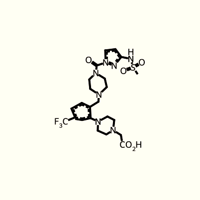 CS(=O)(=O)Nc1ccn(C(=O)N2CCN(Cc3ccc(C(F)(F)F)cc3N3CCN(CC(=O)O)CC3)CC2)n1